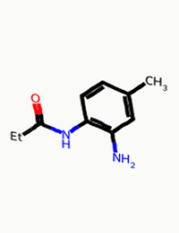 CCC(=O)Nc1ccc(C)cc1N